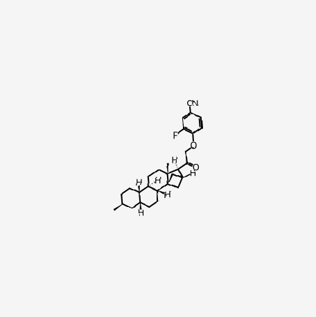 C[C@H]1CC[C@H]2[C@H](CC[C@@H]3[C@@H]2CC[C@]2(C)[C@@H](C(=O)COc4ccc(C#N)cc4F)[C@H]4C[C@@]32C4)C1